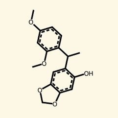 COc1ccc(C(C)c2cc3c(cc2O)OCO3)c(OC)c1